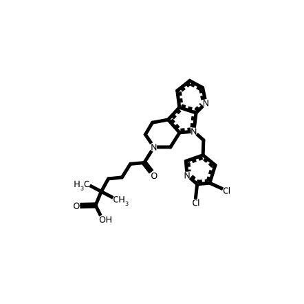 CC(C)(CCCC(=O)N1CCc2c(n(Cc3cnc(Cl)c(Cl)c3)c3ncccc23)C1)C(=O)O